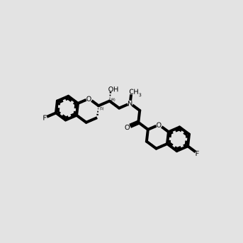 CN(CC(=O)C1CCc2cc(F)ccc2O1)C[C@@H](O)[C@@H]1CCc2cc(F)ccc2O1